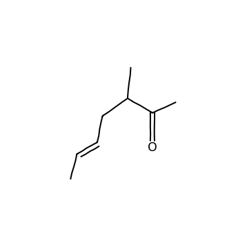 CC=CCC(C)C(C)=O